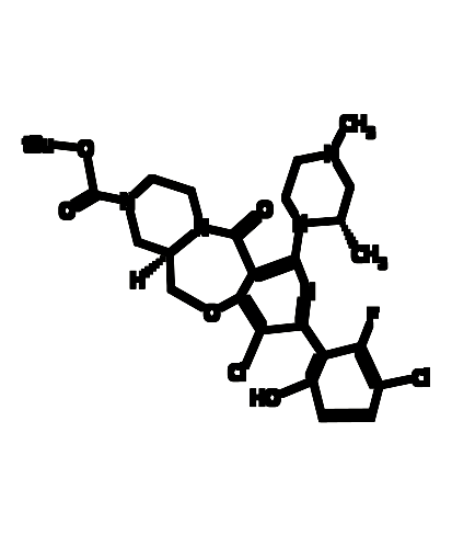 C[C@H]1CN(C)CCN1c1nc(-c2c(O)ccc(Cl)c2F)c(Cl)c2c1C(=O)N1CCN(C(=O)OC(C)(C)C)C[C@@H]1CO2